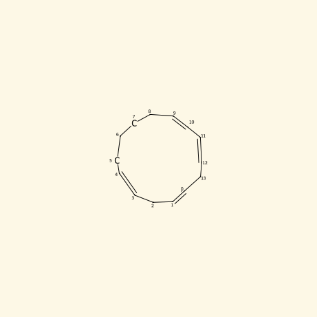 [C]1=CCC=CCCCCC=CC=CC1